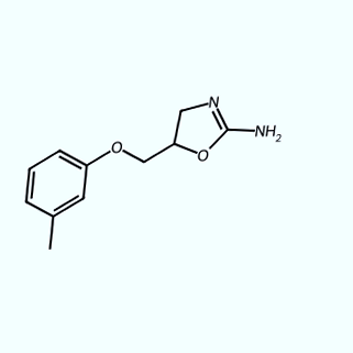 Cc1cccc(OCC2CN=C(N)O2)c1